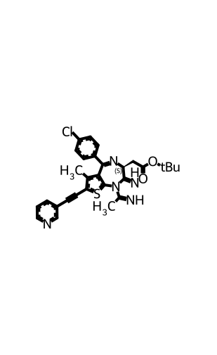 CC(=N)N1C(=N)[C@H](CC(=O)OC(C)(C)C)N=C(c2ccc(Cl)cc2)c2c1sc(C#Cc1cccnc1)c2C